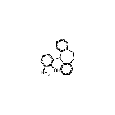 Nc1cccc(N2c3ccccc3CCc3ccccc32)c1O